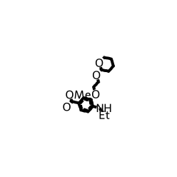 CCNc1ccc(C(=O)OC)cc1OCCOC1CCCCO1